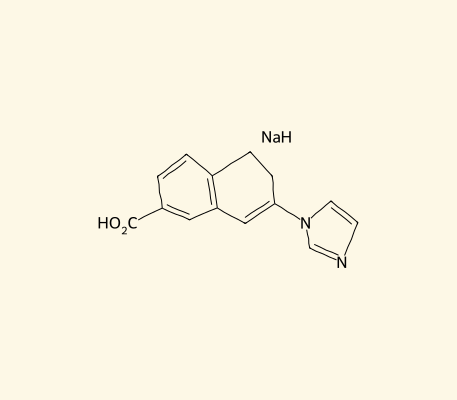 O=C(O)c1ccc2c(c1)C=C(n1ccnc1)CC2.[NaH]